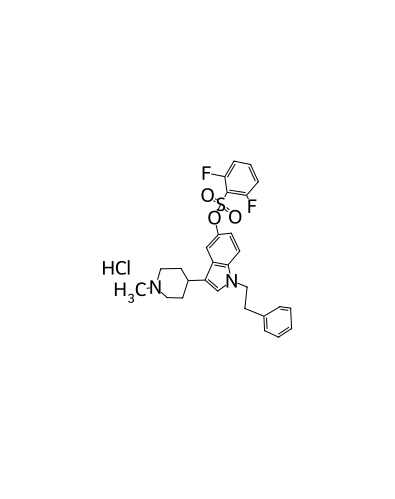 CN1CCC(c2cn(CCc3ccccc3)c3ccc(OS(=O)(=O)c4c(F)cccc4F)cc23)CC1.Cl